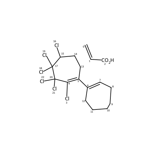 C=CC(=O)O.ClC1=C(C2=CCCCCC2)CCC(Cl)C(Cl)(Cl)C1(Cl)Cl